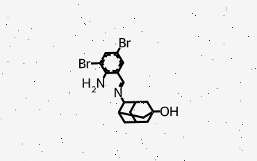 Nc1c(Br)cc(Br)cc1C=NC1C2CC3CC1CC(O)(C3)C2